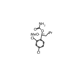 CO[C@@](CC(C)C)(OC(N)=O)c1ccc(Cl)cc1Cl